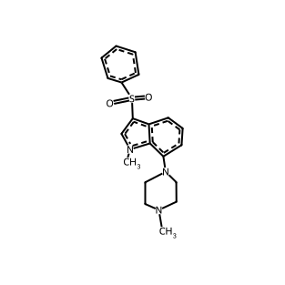 CN1CCN(c2cccc3c(S(=O)(=O)c4ccccc4)cn(C)c23)CC1